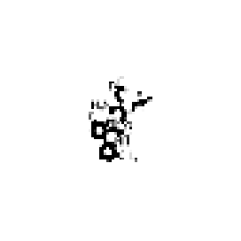 Cc1cccc2c1NC(=O)[C@@H](NC(=O)[C@H](CCC(F)(F)F)[C@H](CCC(F)(F)F)C(N)=O)c1cc(F)ccc1-2